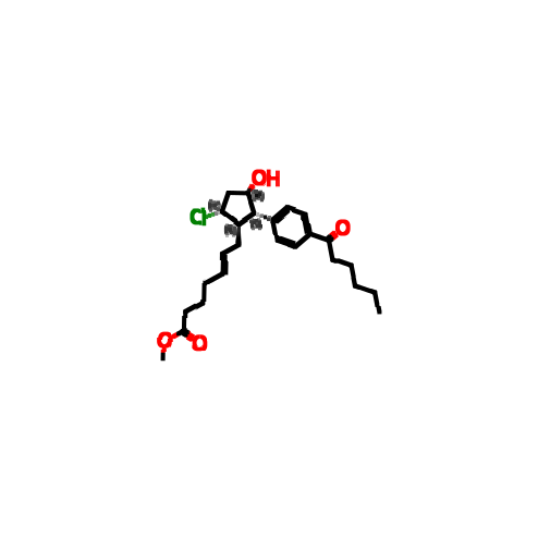 CCCCCC(=O)c1ccc([C@@H]2[C@@H](CC=CCCCC(=O)OC)[C@H](Cl)C[C@H]2O)cc1